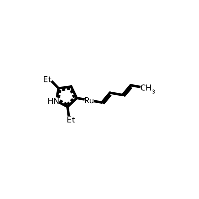 CC=CC=[CH][Ru][c]1cc(CC)[nH]c1CC